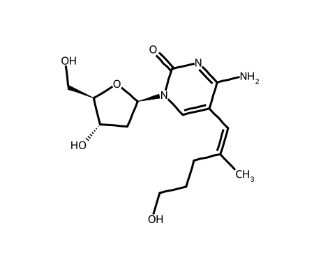 CC(=Cc1cn([C@H]2C[C@H](O)[C@@H](CO)O2)c(=O)nc1N)CCCO